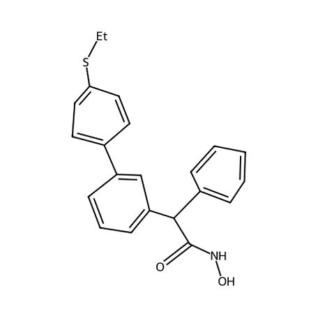 CCSc1ccc(-c2cccc(C(C(=O)NO)c3ccccc3)c2)cc1